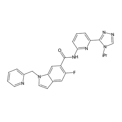 CC(C)n1cnnc1-c1cccc(NC(=O)c2cc3c(ccn3Cc3ccccn3)cc2F)n1